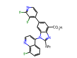 CCCc1nc2c(C(=O)O)cc(-c3ccnc(F)c3F)cc2n1-c1ccnc2c(F)cccc12